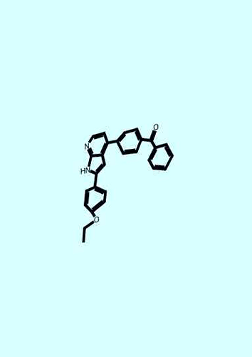 CCOc1ccc(-c2cc3c(-c4ccc(C(=O)c5ccccc5)cc4)ccnc3[nH]2)cc1